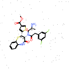 COC(=O)c1csc([C@H]2Sc3ccccc3NC(=O)[C@H]2N(C(=O)Cc2cc(F)cc(F)c2)C(=O)[C@H](C)N)c1